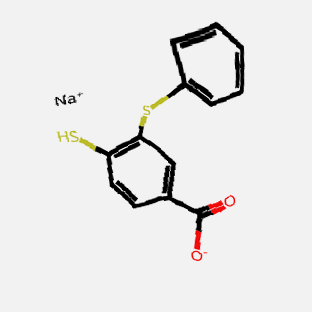 O=C([O-])c1ccc(S)c(Sc2ccccc2)c1.[Na+]